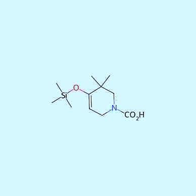 CC1(C)CN(C(=O)O)CC=C1O[Si](C)(C)C